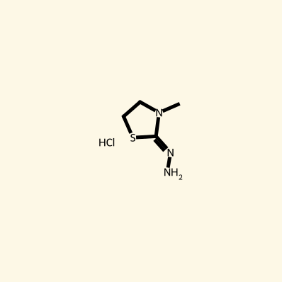 CN1CCSC1=NN.Cl